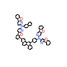 c1ccc2cc(N(c3ccc4c(n3)oc3ccccc34)c3ccc4c(n3)oc3c(-c5ccc6c(ccc7c8ccccc8c(-c8ccc(N(c9cnc%10c(c9)oc9ccccc9%10)c9cc%10oc%11ccccc%11c%10cn9)cc8)cc67)c5)cccc34)ccc2c1